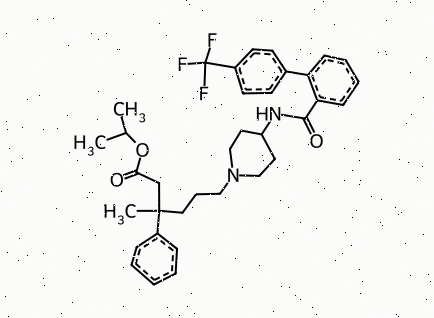 CC(C)OC(=O)CC(C)(CCCN1CCC(NC(=O)c2ccccc2-c2ccc(C(F)(F)F)cc2)CC1)c1ccccc1